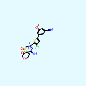 COc1cc(C#N)cc(-c2cc(Cl)c([C@]3(C)CS(=O)(=O)C4(CCOCC4)C(=N)N3)s2)c1